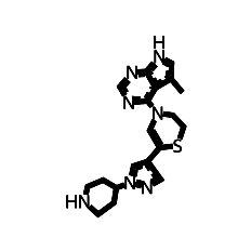 Cc1c[nH]c2ncnc(N3C=C(c4cnn(C5CCNCC5)c4)SCC3)c12